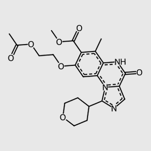 COC(=O)c1c(OCCOC(C)=O)cc2c([nH]c(=O)c3cnc(C4CCOCC4)n32)c1C